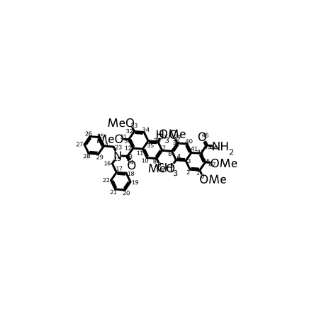 COc1cc2c(OC)c(-c3c(C)cc4c(C(=O)N(Cc5ccccc5)Cc5ccccc5)c(OC)c(OC)cc4c3OC)c(C)cc2c(C(N)=O)c1OC